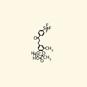 Cc1cc(CCC(=O)c2ccc(SC(F)(F)F)cc2)cc(C)c1OC(C)(C)C(=O)O